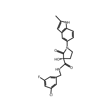 Cc1cc2cc(N3CC[C@](O)(C(=O)NCc4cc(F)cc(Cl)c4)C3=O)ccc2[nH]1